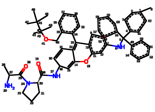 Cc1ccc(C(Nc2ccc3c(c2)OC2=CC(NC(=O)[C@@H]4CCCN4C(=O)C(C)N)C=CC2=C3c2ccccc2CO[Si](C)(C)C(C)(C)C)(c2ccccc2)c2ccccc2)cc1